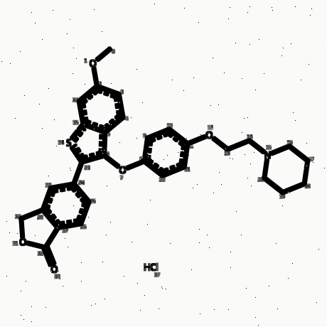 COc1ccc2c(Oc3ccc(OCCN4CCCCC4)cc3)c(-c3ccc4c(c3)COC4=O)sc2c1.Cl